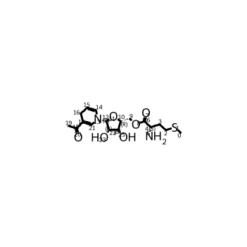 CSCC[C@H](N)C(=O)OC[C@H]1O[C@@H](N2C=CCC(C(C)=O)=C2)[C@H](O)[C@@H]1O